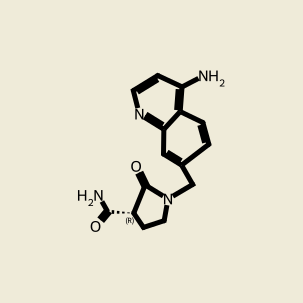 NC(=O)[C@H]1CCN(Cc2ccc3c(N)ccnc3c2)C1=O